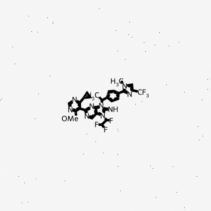 COc1ncnc(C2CC2)c1-c1ncc2c(n1)n(C(C)c1ccc(-c3nc(C(F)(F)F)cn3C)cc1)c(=N)n2C(F)C(F)F